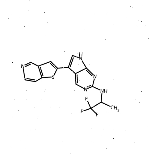 CC(Nc1ncc2c(-c3cc4cnccc4s3)c[nH]c2n1)C(F)(F)F